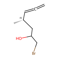 C=C=C[C@@H](C)CC(O)CBr